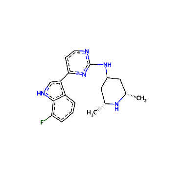 C[C@@H]1CC(Nc2nccc(-c3c[nH]c4c(F)cccc34)n2)C[C@H](C)N1